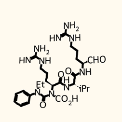 CCN(C(=O)N(C(=O)O)[C@@H](CCCNC(=N)N)C(=O)N[C@H](C(=O)N[C@H](C=O)CCCNC(=N)N)C(C)C)c1ccccc1